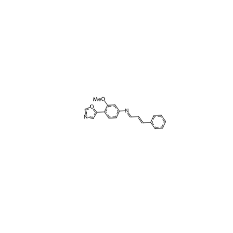 COc1cc(N=CC=Cc2ccccc2)ccc1-c1cnco1